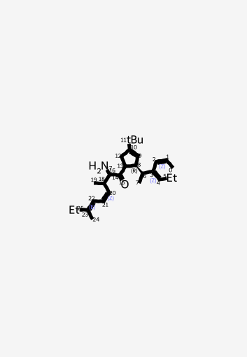 C/C=C\C(=C/CC)C(C)[C@@H]1C=C(C(C)(C)C)CC1C(=O)C(N)C(C)/C=C\C=C(/C)CC